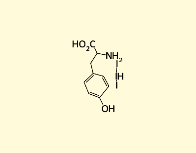 I[IH]I.NC(Cc1ccc(O)cc1)C(=O)O